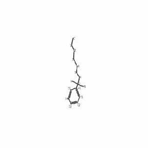 CCCCCC[CH]C(C)(C)c1ccccc1